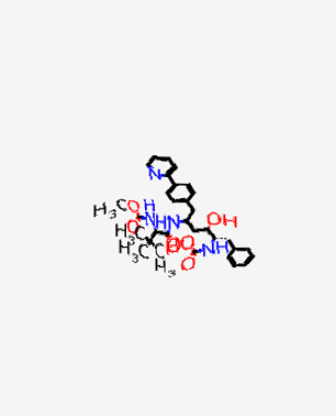 COC(=O)N[C@H](C(=O)NC(Cc1ccc(-c2ccccn2)cc1)C[C@H](O)[C@H](Cc1ccccc1)NC(=O)O)C(C)(C)C